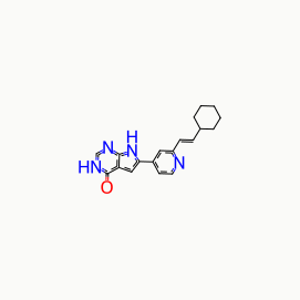 O=c1[nH]cnc2[nH]c(-c3ccnc(C=CC4CCCCC4)c3)cc12